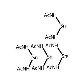 CC(=O)[NH][Sn][NH]C(C)=O.CC(=O)[NH][Sn][NH]C(C)=O.CC(=O)[NH][Sn][NH]C(C)=O.CC(=O)[NH][Sn][NH]C(C)=O